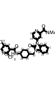 CNC(=O)c1cc(-n2c(=O)n(CC3CCC(NC(=O)c4cc(Cl)cnc4C(F)(F)F)CC3)c3ccccc32)ccn1